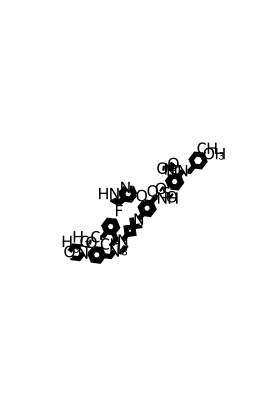 COc1cc(CN2CCN(C3CC4(C3)CN(c3ccc(C(=O)NS(=O)(=O)c5ccc(NCC6CCC(C)(O)CC6)c([N+](=O)[O-])c5)c(Oc5cnc6[nH]cc(F)c6c5)c3)C4)C(c3ccccc3C(C)C)C2)ccc1N1CCOCC1